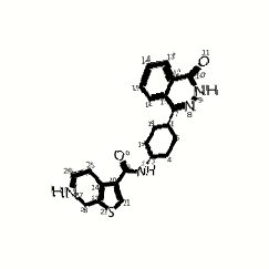 O=C(N[C@H]1CC[C@H](c2n[nH]c(=O)c3ccccc32)CC1)c1csc2c1CCNC2